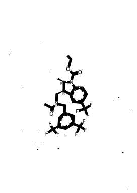 CCOC(=O)N1c2ccc(C(F)(F)F)cc2[C@@H](CN(Cc2cc(C(F)(F)F)cc(C(F)(F)F)c2)C(C)=O)[C@H]1C